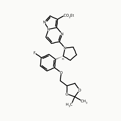 CCOC(=O)c1cnn2ccc(N3CCC[C@@H]3c3cc(F)ccc3OCC3COC(C)(C)O3)nc12